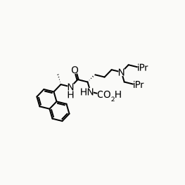 CC(C)CN(CCC[C@H](NC(=O)O)C(=O)N[C@@H](C)c1cccc2ccccc12)CC(C)C